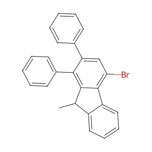 CC1c2ccccc2-c2c(Br)cc(-c3ccccc3)c(-c3ccccc3)c21